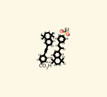 CC1(C)CCC(C)(C)c2cc(C#Cc3ccc(C(=O)O)cc3)ccc21.CCS(=O)(=O)c1ccc(/C=C(\C)c2ccc3c(c2)C(C)(C)CCC3(C)C)cc1